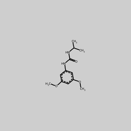 COc1cc(NC(=O)NC(C)C)cc(OC)c1